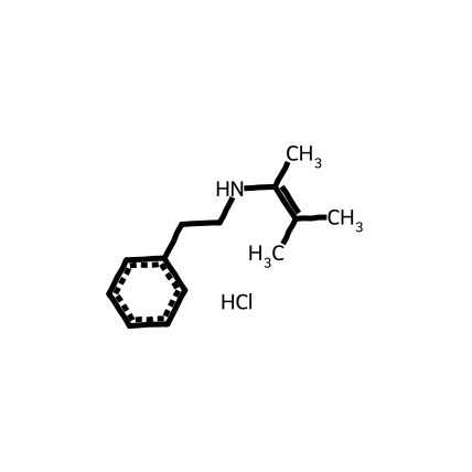 CC(C)=C(C)NCCc1ccccc1.Cl